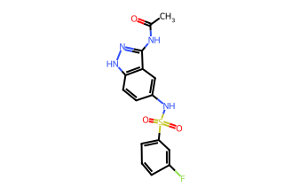 CC(=O)Nc1n[nH]c2ccc(NS(=O)(=O)c3cccc(F)c3)cc12